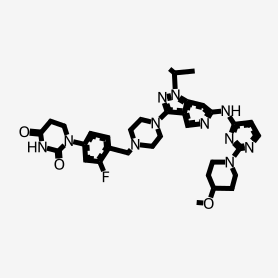 COC1CCN(c2nccc(Nc3cc4c(cn3)c(N3CCN(Cc5ccc(N6CCC(=O)NC6=O)cc5F)CC3)nn4C(C)C)n2)CC1